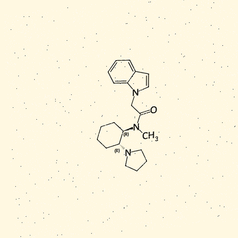 CN(C(=O)Cn1ccc2ccccc21)[C@@H]1CCCC[C@H]1N1CCCC1